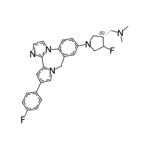 CN(C)C[C@H]1CN(c2ccc3c(c2)Cn2cc(-c4ccc(F)cc4)cc2-c2nccn2-3)CC1F